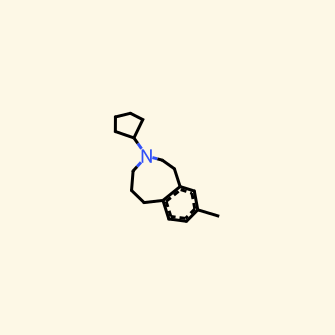 Cc1ccc2c(c1)CCN(C1CCCC1)CCC2